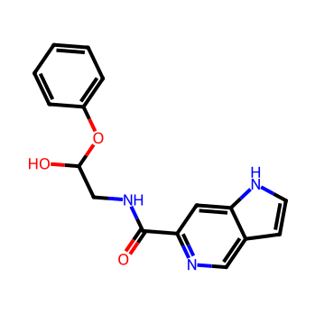 O=C(NCC(O)Oc1ccccc1)c1cc2[nH]ccc2cn1